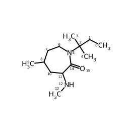 CCC(C)(C)N1CCC(C)CC(NC)C1=O